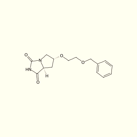 O=C1NC(=O)N2C[C@H](OCCOCc3ccccc3)C[C@@H]12